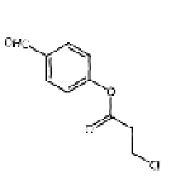 O=Cc1ccc(OC(=O)CCCl)cc1